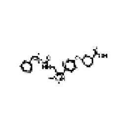 C[C@H](Cc1ccccc1)OC(=O)NCc1c(-c2ccc(O[C@H]3CCCC(C(=O)O)C3)cn2)nnn1C